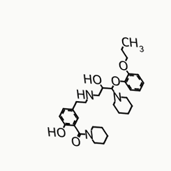 CCCOc1ccccc1OC(C(O)CNCCc1ccc(O)c(C(=O)N2CCCCC2)c1)N1CCCCC1